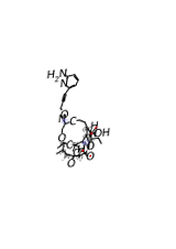 CC[C@H]1OC(=O)[C@H](C)C(=O)[C@H](C)[C@@H](C)[C@@]2(C)C[C@@H](C)/C(=N\C(C)=O)[C@H](C)[C@@H](CCC/C(=N\OCC#Cc3cccc(N)n3)CO2)[C@]1(C)O